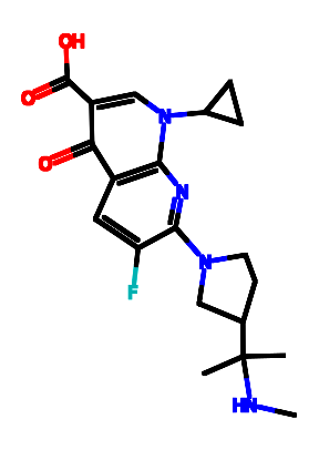 CNC(C)(C)C1CCN(c2nc3c(cc2F)c(=O)c(C(=O)O)cn3C2CC2)C1